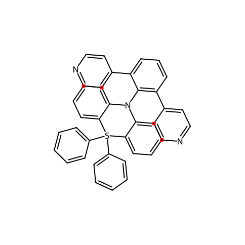 c1ccc(S2(c3ccccc3)c3ccccc3N(c3c(-c4ccncc4)cccc3-c3ccncc3)c3ccccc32)cc1